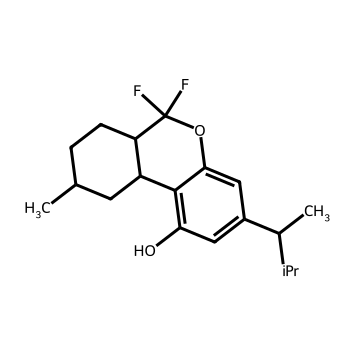 CC1CCC2C(C1)c1c(O)cc(C(C)C(C)C)cc1OC2(F)F